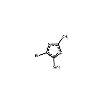 CSc1oc(C)nc1Br